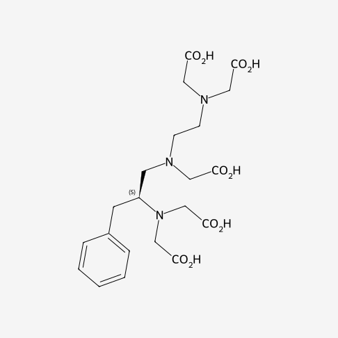 O=C(O)CN(CCN(CC(=O)O)C[C@H](Cc1ccccc1)N(CC(=O)O)CC(=O)O)CC(=O)O